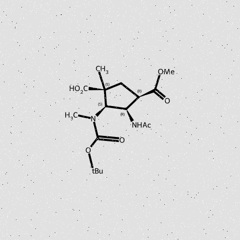 COC(=O)[C@@H]1C[C@](C)(C(=O)O)[C@H](N(C)C(=O)OC(C)(C)C)[C@@H]1NC(C)=O